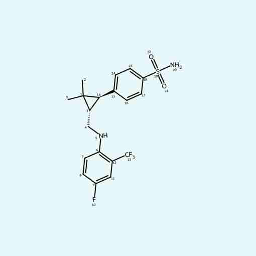 CC1(C)[C@@H](CNc2ccc(F)cc2C(F)(F)F)[C@@H]1c1ccc(S(N)(=O)=O)cc1